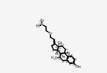 CCN(CC)CCOC/C=C1\CC[C@H]2[C@@H]3[C@H](C)Cc4cc(O)ccc4[C@H]3CC[C@]12C